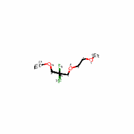 CCOCCOCC(F)(F)COCC